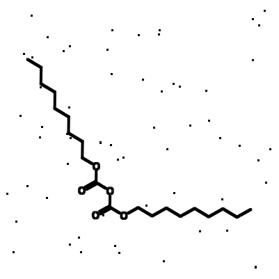 CCCCCCCCCOC(=O)OC(=O)OCCCCCCCCC